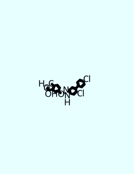 Cc1ccc(Oc2nc3cc(-c4ccc(Cl)cc4)c(Cl)cc3[nH]2)cc1C(=O)O